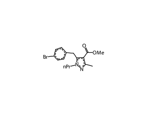 CCCn1nc(C)c(C(=O)OC)c1Cc1ccc(Br)cc1